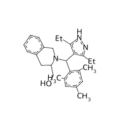 CCc1n[nH]c(CC)c1C(c1c(C)cc(C)cc1C)N1Cc2ccccc2CC1CO